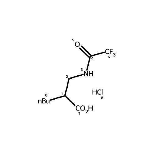 CCCCC(CNC(=O)C(F)(F)F)C(=O)O.Cl